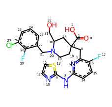 O=C(O)C1(Cc2nc(Nc3nccs3)ccc2F)CCN(Cc2cccc(Cl)c2F)C(CO)C1